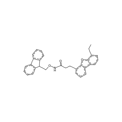 CCc1cccc2c1oc1c(CCC(=O)NOCC3c4ccccc4-c4ccccc43)cccc12